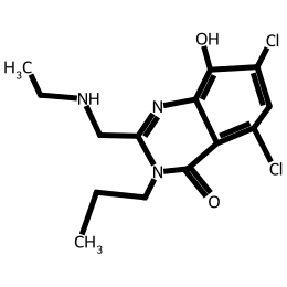 CCCn1c(CNCC)nc2c(O)c(Cl)cc(Cl)c2c1=O